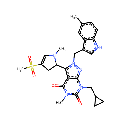 Cc1ccc2[nH]cc(Cn3nc4c(c3C3CC(S(C)(=O)=O)=CN3C)c(=O)n(C)c(=O)n4CC3CC3)c2c1